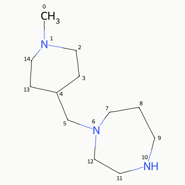 CN1CCC(CN2CCCNCC2)CC1